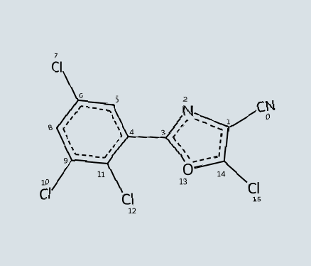 N#Cc1nc(-c2cc(Cl)cc(Cl)c2Cl)oc1Cl